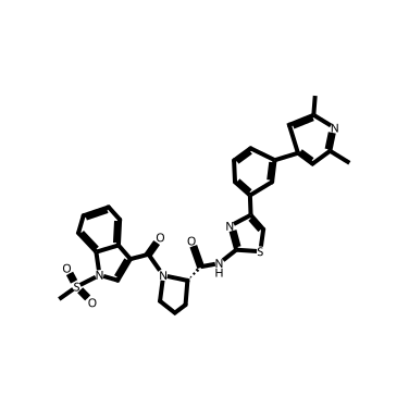 Cc1cc(-c2cccc(-c3csc(NC(=O)[C@@H]4CCCN4C(=O)c4cn(S(C)(=O)=O)c5ccccc45)n3)c2)cc(C)n1